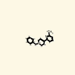 Cc1cccc(C2=CCN(Cc3ccccc3)CC2)n1